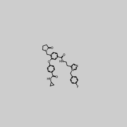 O=C(NCCc1cncn1Cc1ccc(F)cc1)c1ccc(CN2CCCC2=O)c(Oc2ccc(C(=O)NC3CC3)cc2)c1